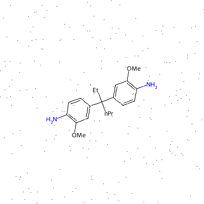 CCCC(CC)(c1ccc(N)c(OC)c1)c1ccc(N)c(OC)c1